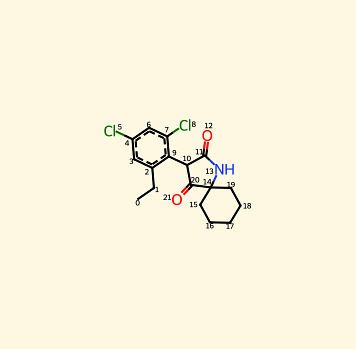 CCc1cc(Cl)cc(Cl)c1C1C(=O)NC2(CCCCC2)C1=O